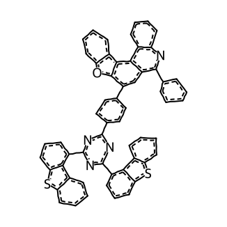 c1ccc(-c2nc3ccccc3c3c2cc(-c2ccc(-c4nc(-c5cccc6sc7ccccc7c56)nc(-c5cccc6sc7ccccc7c56)n4)cc2)c2oc4ccccc4c23)cc1